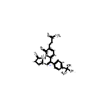 CC(C)(C)c1ccc(/C(=C/[C@H]2CCC(=O)N2)c2ccc(CCC(N)=O)c(=O)[nH]2)cc1